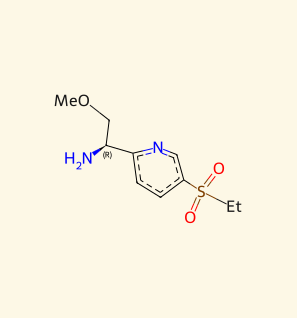 CCS(=O)(=O)c1ccc([C@@H](N)COC)nc1